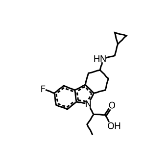 CCC(C(=O)O)n1c2c(c3cc(F)ccc31)CC(NCC1CC1)CC2